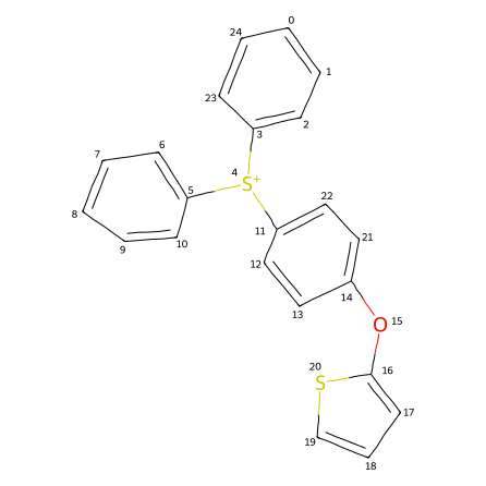 c1ccc([S+](c2ccccc2)c2ccc(Oc3cccs3)cc2)cc1